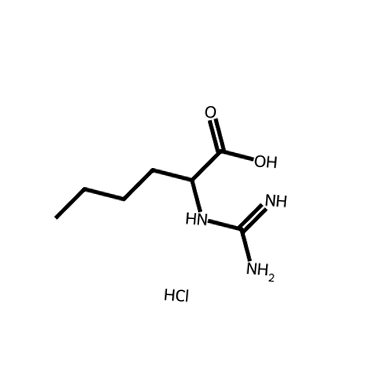 CCCCC(NC(=N)N)C(=O)O.Cl